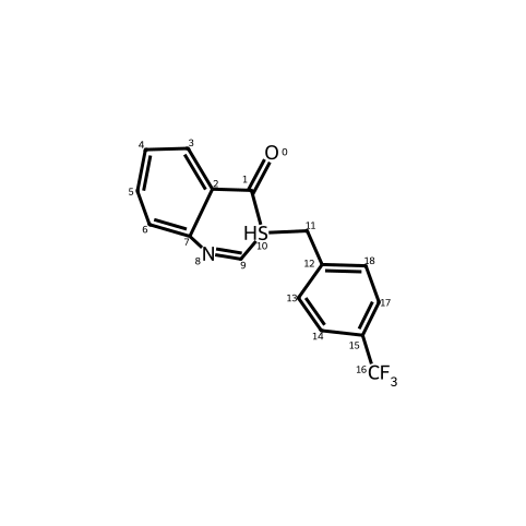 O=C1c2ccccc2N=C[SH]1Cc1ccc(C(F)(F)F)cc1